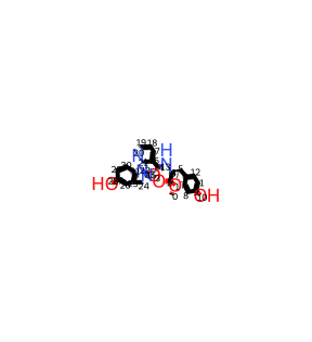 COC(=O)[C@H](Cc1ccc(O)cc1)NC(=O)c1cccnc1-n1ncc2cc(O)ccc21